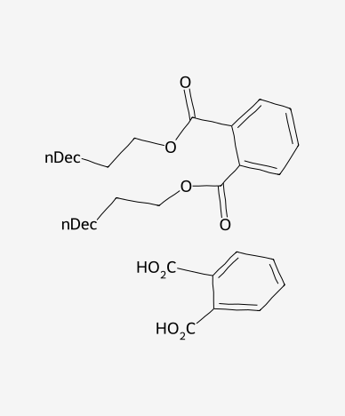 CCCCCCCCCCCCOC(=O)c1ccccc1C(=O)OCCCCCCCCCCCC.O=C(O)c1ccccc1C(=O)O